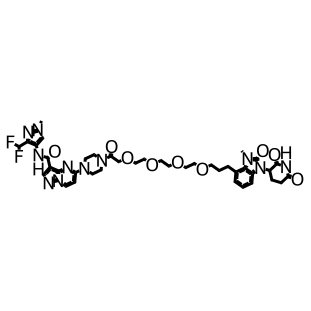 Cn1cc(NC(=O)c2cnn3ccc(N4CCN(C(=O)COCCOCCOCCOCCCc5cccc6c5n(C)c(=O)n6C5CCC(=O)NC5=O)CC4)nc23)c(C(F)F)n1